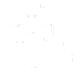 CCOCc1nc2c(N)nc3cccc(OCC(C)C)c3c2n1C